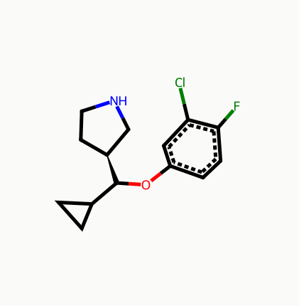 Fc1ccc(OC(C2CC2)[C@H]2CCNC2)cc1Cl